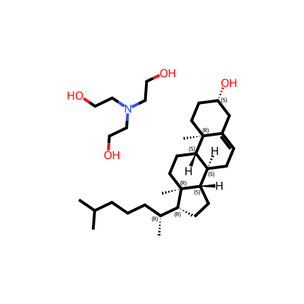 CC(C)CCC[C@@H](C)[C@H]1CC[C@H]2[C@@H]3CC=C4C[C@@H](O)CC[C@]4(C)[C@H]3CC[C@]12C.OCCN(CCO)CCO